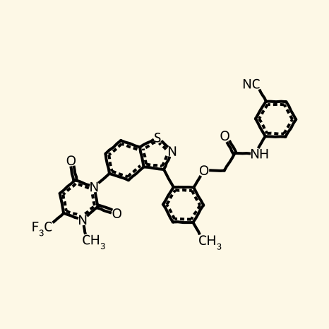 Cc1ccc(-c2nsc3ccc(-n4c(=O)cc(C(F)(F)F)n(C)c4=O)cc23)c(OCC(=O)Nc2cccc(C#N)c2)c1